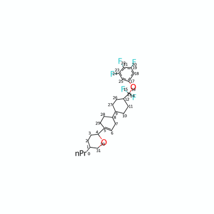 CCCC1CCC(C2=CCC(C3CCC(C(F)(F)Oc4cc(F)c(F)c(F)c4)CC3)CC2)OC1